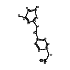 Cc1cc(COc2ccc(C[C]=O)cc2)cc(C)n1